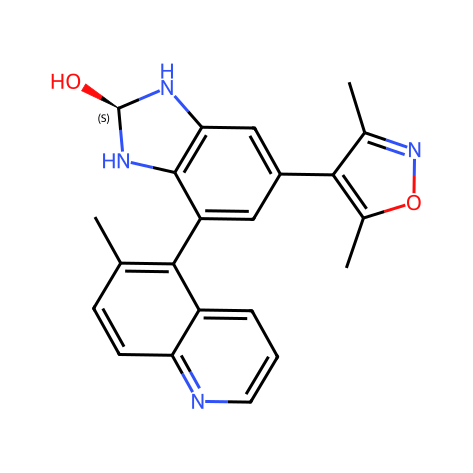 Cc1ccc2ncccc2c1-c1cc(-c2c(C)noc2C)cc2c1N[C@@H](O)N2